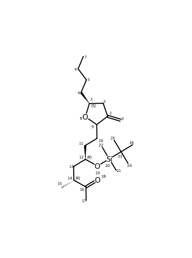 C=C1C[C@H](CCCC)OC1CC[C@H](C[C@@H](C)C(C)=O)O[Si](C)(C)C(C)(C)C